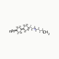 C=CCC/C=C/CCC1CCC(C2CCC(CCC)CC2)CC1